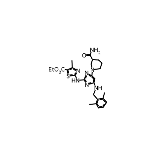 CCOC(=O)c1sc(Nc2nc(NCc3c(C)cccc3C)cc(N3CCCC(C(N)=O)C3)n2)nc1C